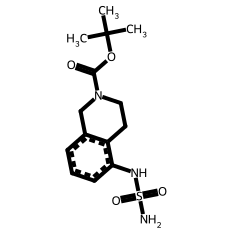 CC(C)(C)OC(=O)N1CCc2c(cccc2NS(N)(=O)=O)C1